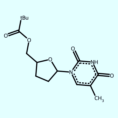 Cc1cn(C2CCC(COC(=O)C(C)(C)C)O2)c(=O)[nH]c1=O